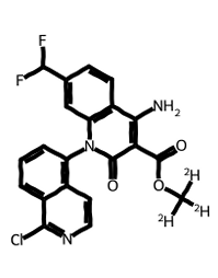 [2H]C([2H])([2H])OC(=O)c1c(N)c2ccc(C(F)F)cc2n(-c2cccc3c(Cl)nccc23)c1=O